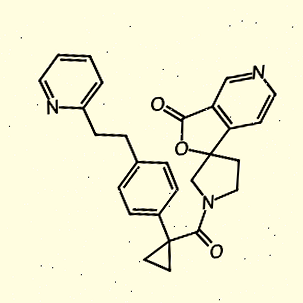 O=C1OC2(CCN(C(=O)C3(c4ccc(CCc5ccccn5)cc4)CC3)C2)c2ccncc21